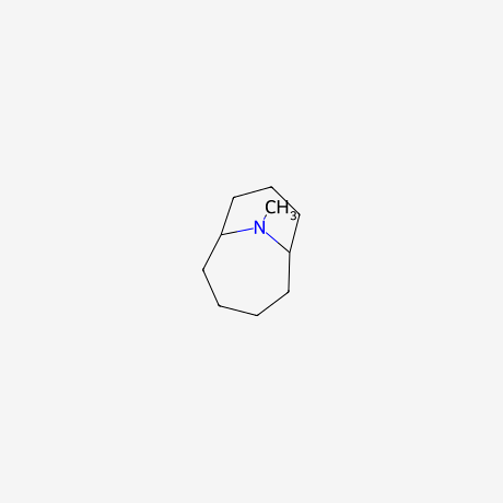 CN1C2CCCCC1CCC2